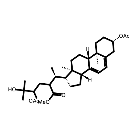 COC(=O)C(CC(OC(C)=O)C(C)(C)O)[C@@H](C)[C@H]1CC[C@H]2C3=CC=C4C[C@@H](OC(C)=O)CC[C@]4(C)[C@H]3CC[C@]12C